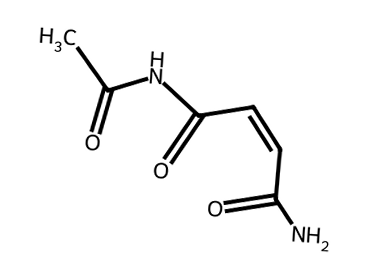 CC(=O)NC(=O)/C=C\C(N)=O